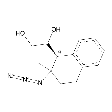 CC1(N=[N+]=[N-])CCc2ccccc2[C@@H]1C(O)CO